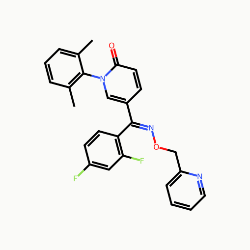 Cc1cccc(C)c1-n1cc(/C(=N/OCc2ccccn2)c2ccc(F)cc2F)ccc1=O